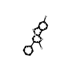 Clc1nc2c3ccc(Br)cc3nn2cc1-c1ccccc1